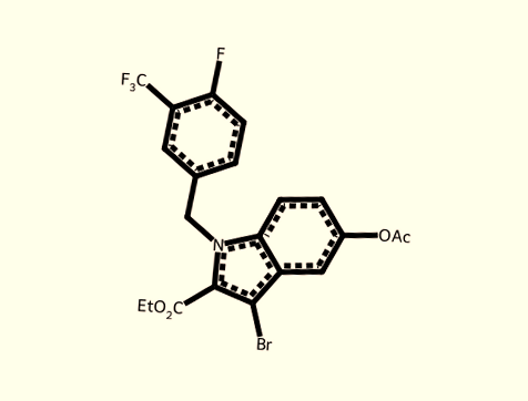 CCOC(=O)c1c(Br)c2cc(OC(C)=O)ccc2n1Cc1ccc(F)c(C(F)(F)F)c1